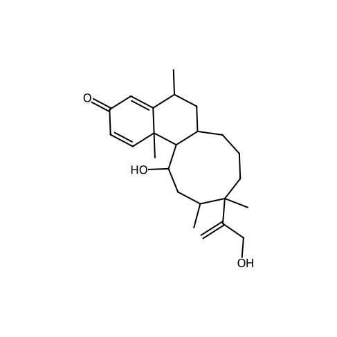 C=C(CO)C1(C)CCCC2CC(C)C3=CC(=O)C=CC3(C)C2C(O)CC1C